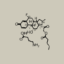 CCCCC(=O)OCC(=O)[C@H]1[C@H](C)C[C@H]2[C@@H]3C[C@H](F)C4=CC(=O)C=C[C@]4(C)[C@@]3(F)[C@@H](O)C[C@@]21C.NCCCC(=O)O